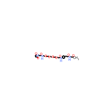 CC(=O)CCNC(=O)CCc1ccc(NC(=O)CCOCCOCCOCCOCCNC(=O)CCN2C(=O)C=CC2=O)cc1